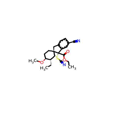 CCOC(=O)[C@]1(SC#N)c2cc(C#N)ccc2C[C@@]12CC[C@H](OC)[C@@H](CC)C2